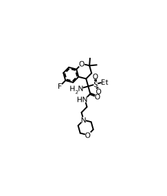 CCS(=O)(=O)C(N)(C(=O)NCCN1CCOCC1)C1CC(C)(C)Oc2ccc(F)cc21